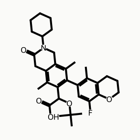 Cc1c(-c2c(C)c3c(c(C)c2C(OC(C)(C)C)C(=O)O)CC(=O)N(C2CCCCC2)C3)cc(F)c2c1CCCO2